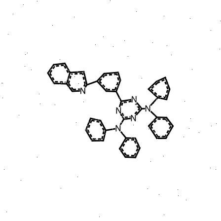 c1ccc(N(c2ccccc2)c2nc(-c3cccc(-c4cc5ccccc5cn4)c3)nc(N(c3ccccc3)c3ccccc3)n2)cc1